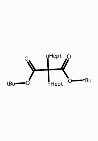 CCCCCCCC(CCCCCCC)(C(=O)OC(C)(C)C)C(=O)OC(C)(C)C